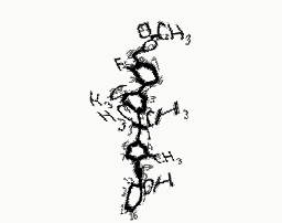 CCC(CC)(c1ccc(C#CC2(O)CCCCC2)c(C)c1)c1ccc(-c2ccc(COC(C)=O)c(F)c2)c(C)c1